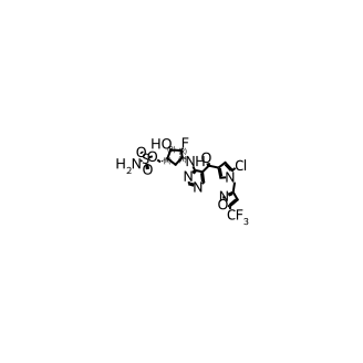 NS(=O)(=O)OC[C@H]1C[C@@H](Nc2ncncc2C(=O)c2cc(Cl)n(Cc3cc(C(F)(F)F)on3)c2)[C@@H](F)[C@@H]1O